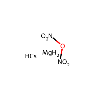 O=[N+]([O-])O[N+](=O)[O-].[CsH].[MgH2]